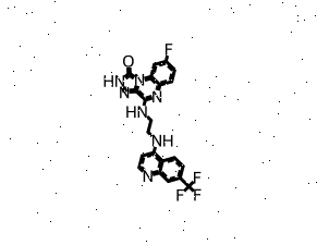 O=c1[nH]nc2c(NCCNc3ccnc4cc(C(F)(F)F)ccc34)nc3ccc(F)cc3n12